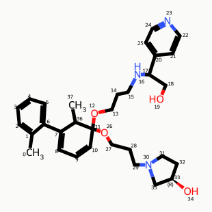 Cc1ccccc1C1=CC=CC(OCCCNC(CO)c2ccncc2)(OCCCN2CC[C@@H](O)C2)C1C